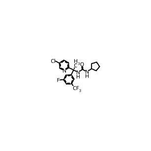 C[C@@](NC(=O)NC1CCCC1)(c1cc(F)cc(C(F)(F)F)c1)c1ccc(Cl)cn1